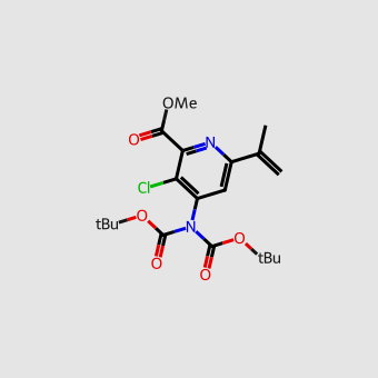 C=C(C)c1cc(N(C(=O)OC(C)(C)C)C(=O)OC(C)(C)C)c(Cl)c(C(=O)OC)n1